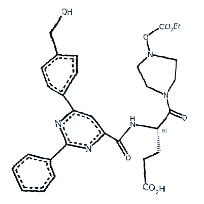 CCOC(=O)ON1CCN(C(=O)[C@H](CCC(=O)O)NC(=O)c2cc(-c3ccc(CO)cc3)nc(-c3ccccc3)n2)CC1